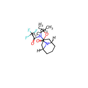 CN(C(=O)C(F)(F)F)C1C[C@H]2CCC[C@@H](C1)N2C(=O)OC(C)(C)C